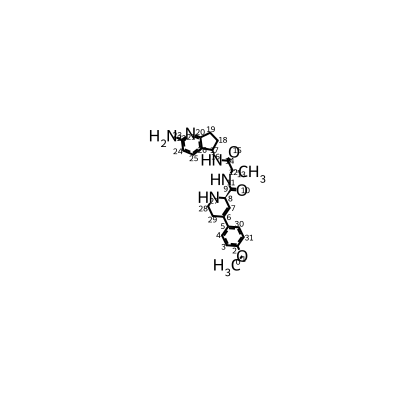 COc1ccc(C2=C[C@H](C(=O)N[C@@H](C)C(=O)N[C@@H]3CCc4nc(N)ccc43)NCC2)cc1